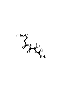 CCCCCCCCCC(=O)OC(=O)C(N)CC(N)=O